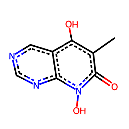 Cc1c(O)c2cncnc2n(O)c1=O